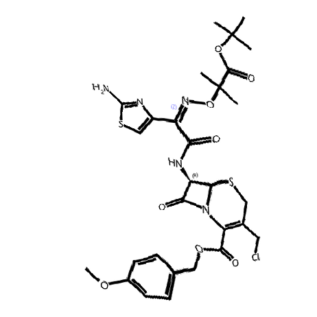 COc1ccc(COC(=O)C2=C(CCl)CSC3[C@H](NC(=O)/C(=N\OC(C)(C)C(=O)OC(C)(C)C)c4csc(N)n4)C(=O)N23)cc1